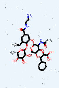 CCC1CC(C(=O)NCCN)C[C@@H](O[C@@H]2OC[C@H](O)C(OC(CC3CCCCC3)C(O)O)C2NC(C)=O)C1OC1O[C@@H](C)C(O)C(O)[C@@H]1O